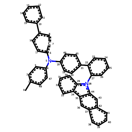 Cc1ccc(N(c2ccc(-c3ccccc3)cc2)c2ccc(-c3ccccc3-n3c4ccccc4c4cc5ccccc5cc43)cc2)cc1